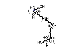 CC(=O)[C@@H](CCCCNC(=O)CCCCOC(O)/C(C)=C(/O)C(O)CCO)NC(=O)CCCCOC(O)C(C)C(O)C(O)CCO